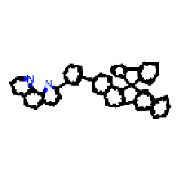 c1cc(-c2ccc3c4c(ccc3c2)-c2cc3ccccc3cc2C42c3ccccc3-c3ccccc32)cc(-c2ccc3ccc4cccnc4c3n2)c1